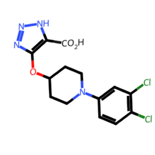 O=C(O)c1[nH]nnc1OC1CCN(c2ccc(Cl)c(Cl)c2)CC1